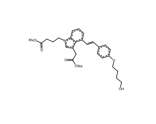 COC(=O)CCCn1cc(CC(=O)OC)c2c(C=Cc3ccc(OCCCCO)cc3)cccc21